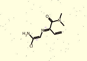 C=C/C(=N\C=C(/N)Cl)C(=O)N(C)C